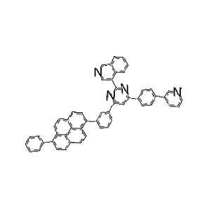 c1ccc(-c2ccc3ccc4c(-c5cccc(-c6cc(-c7ccc(-c8cccnc8)cc7)nc(-c7cncc8ccccc78)n6)c5)ccc5ccc2c3c54)cc1